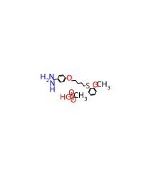 COc1ccccc1SCCCCCOc1ccc(C(=N)N)cc1.CS(=O)(=O)O